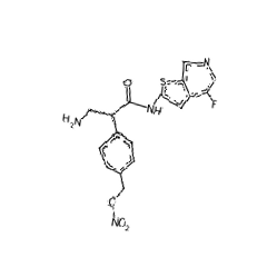 NCC(C(=O)Nc1cc2c(F)cncc2s1)c1ccc(CO[N+](=O)[O-])cc1